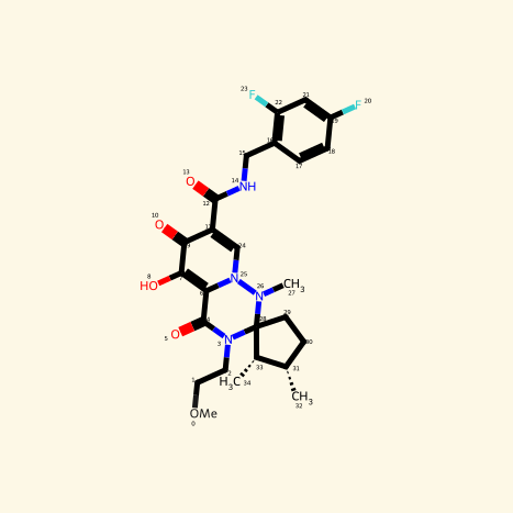 COCCN1C(=O)c2c(O)c(=O)c(C(=O)NCc3ccc(F)cc3F)cn2N(C)C12CC[C@H](C)[C@@H]2C